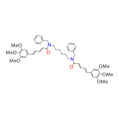 COc1cc(/C=C/C=C/C(=O)N(CCCCCCN(Cc2ccccc2)C(=O)/C=C/C=C/c2cc(OC)c(OC)c(OC)c2)Cc2ccccc2)cc(OC)c1OC